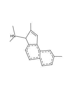 CC1=Cc2c(ccc3ccc(C)cc23)C1[SiH](C)C